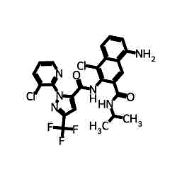 CC(C)NC(=O)c1cc2c(N)cccc2c(Cl)c1NC(=O)c1cc(C(F)(F)F)nn1-c1ncccc1Cl